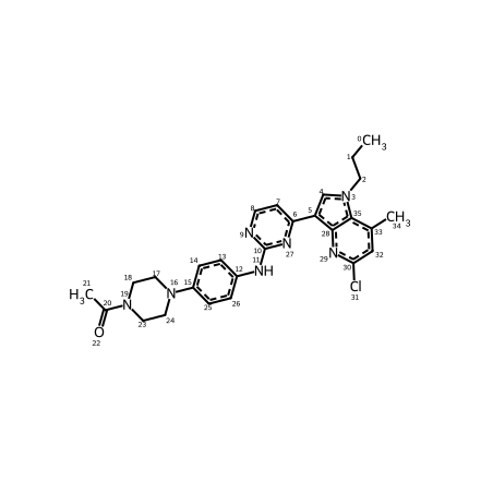 CCCn1cc(-c2ccnc(Nc3ccc(N4CCN(C(C)=O)CC4)cc3)n2)c2nc(Cl)cc(C)c21